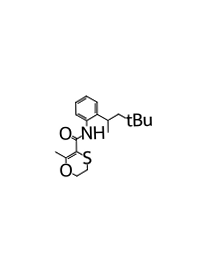 CC1=C(C(=O)Nc2ccccc2C(C)CC(C)(C)C)SCCO1